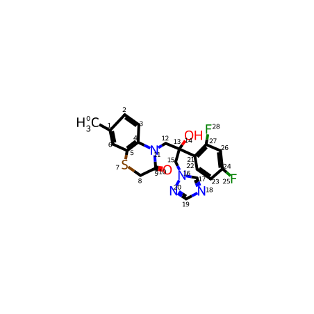 Cc1ccc2c(c1)SCC(=O)N2CC(O)(Cn1cncn1)c1ccc(F)cc1F